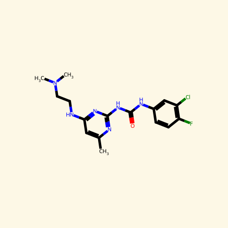 Cc1cc(NCCN(C)C)nc(NC(=O)Nc2ccc(F)c(Cl)c2)n1